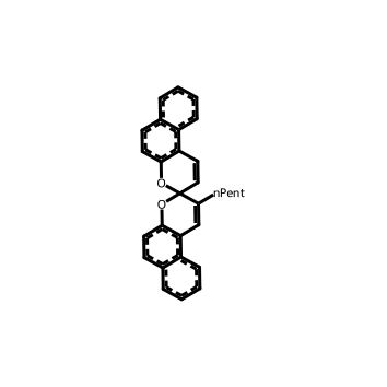 CCCCCC1=Cc2c(ccc3ccccc23)OC12C=Cc1c(ccc3ccccc13)O2